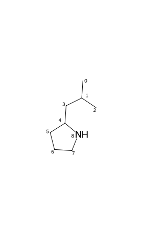 CC(C)CC1CCCN1